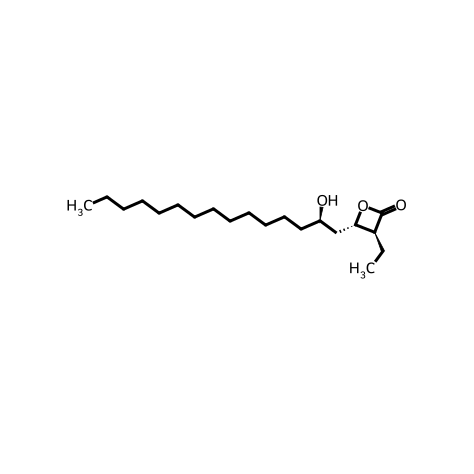 CCCCCCCCCCCCC[C@@H](O)C[C@@H]1OC(=O)[C@H]1CC